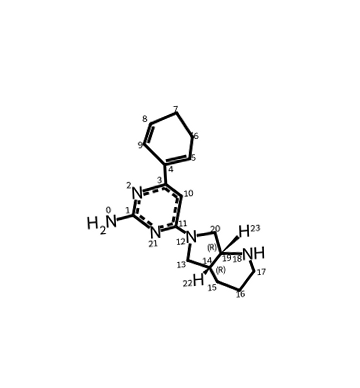 Nc1nc(C2=C[CH]CC=C2)cc(N2C[C@H]3CCCN[C@H]3C2)n1